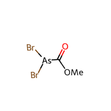 COC(=O)[As](Br)Br